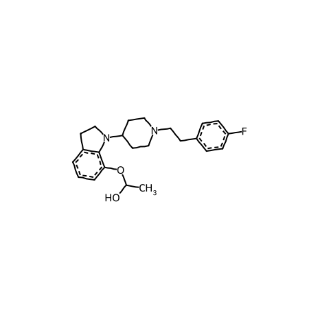 CC(O)Oc1cccc2c1N(C1CCN(CCc3ccc(F)cc3)CC1)CC2